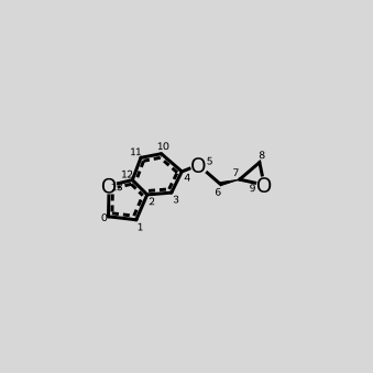 c1cc2cc(OC[C@H]3CO3)ccc2o1